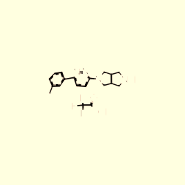 Cc1cccc(-c2ccc(N3CC4CNCC4C3)nn2)c1.O=C(O)C(F)(F)F